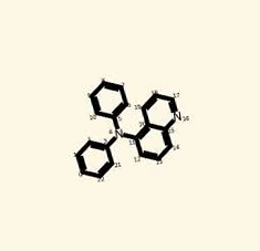 c1ccc(N(c2ccccc2)c2cccc3ncccc23)cc1